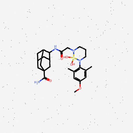 COc1cc(C)c(N2CCCN(CC(=O)NC3C4CC5CC3CC(C(N)=O)(C5)C4)S2(O)O)c(C)c1